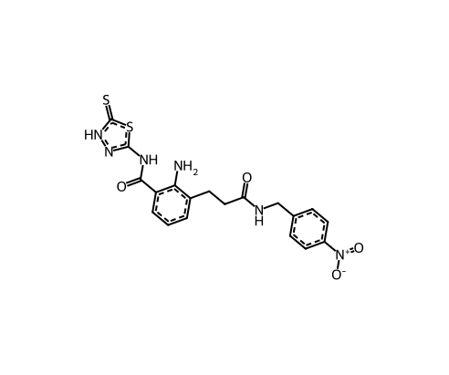 Nc1c(CCC(=O)NCc2ccc([N+](=O)[O-])cc2)cccc1C(=O)Nc1n[nH]c(=S)s1